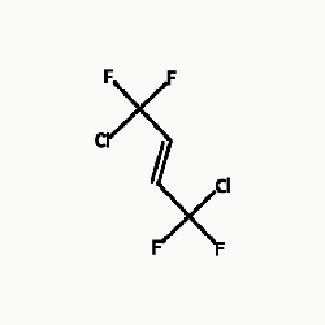 FC(F)(Cl)/C=C/C(F)(F)Cl